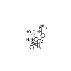 NN=CNc1cccc(C(=O)c2cc(CCC(=O)O)c(N)c(S(=O)(=O)c3ccccc3)c2N)c1